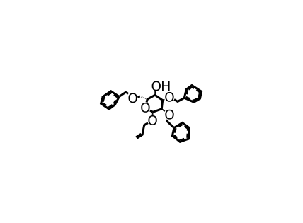 C=CCO[C@@H]1O[C@H](COCc2ccccc2)[C@@H](O)[C@H](OCc2ccccc2)[C@H]1OCc1ccccc1